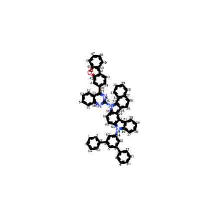 c1ccc(-c2cc(-c3ccccc3)cc(-n3c4ccccc4c4c5c6ccc7ccccc7c6n(-c6nc(-c7ccc8c(c7)oc7ccccc78)c7ccccc7n6)c5ccc43)c2)cc1